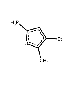 CCc1cc(P)oc1C